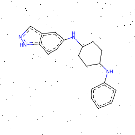 c1ccc(NC2CCC(Nc3ccc4[nH]ncc4c3)CC2)cc1